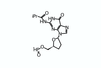 CC(C)C(=O)Nc1nc2c(ncn2[C@H]2CC[C@@H](CO[PH](C)=O)O2)c(=O)[nH]1